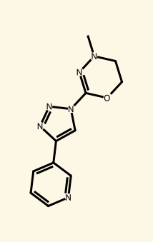 CN1CCOC(n2cc(-c3cccnc3)nn2)=N1